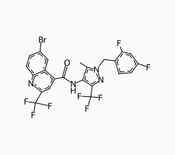 Cc1c(NC(=O)c2cc(C(F)(F)F)nc3ccc(Br)cc23)c(C(F)(F)F)nn1Cc1ccc(F)cc1F